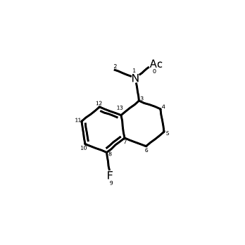 CC(=O)N(C)C1CCCc2c(F)cccc21